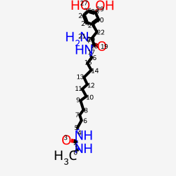 CNC(=O)NCCCCCCCCCCCCNC(=O)[C@H](N)Cc1ccc(O)c(O)c1